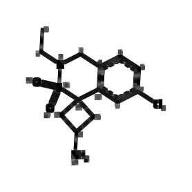 CCN1Cc2ccc(Cl)cc2C2(CC(N)C2)S1(=O)=O